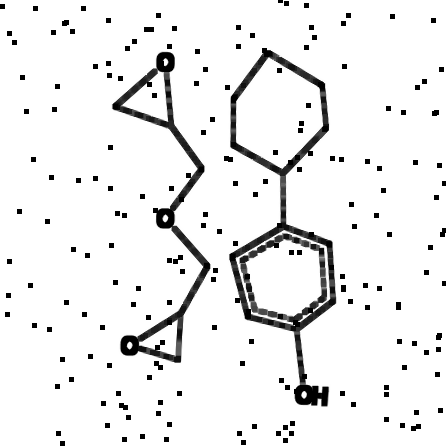 C(OCC1CO1)C1CO1.Oc1ccc(C2CCCCC2)cc1